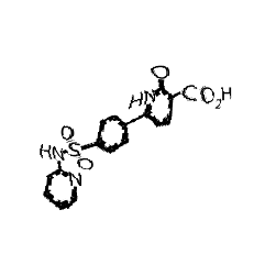 O=C(O)c1ccc(-c2ccc(S(=O)(=O)Nc3ccccn3)cc2)[nH]c1=O